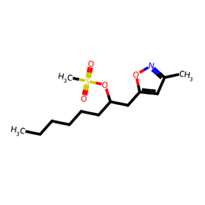 CCCCCCC(Cc1cc(C)no1)OS(C)(=O)=O